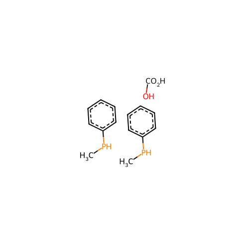 CPc1ccccc1.CPc1ccccc1.O=C(O)O